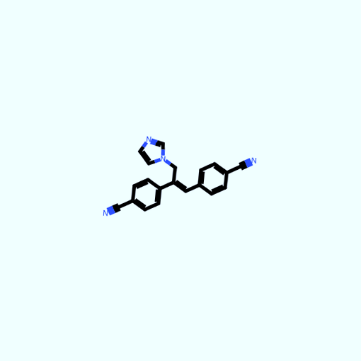 N#Cc1ccc(C=C(Cn2ccnc2)c2ccc(C#N)cc2)cc1